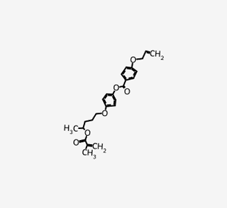 C=CCOc1ccc(C(=O)Oc2ccc(OCCCC(C)OC(=O)C(=C)C)cc2)cc1